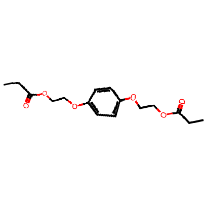 CCC(=O)OCCOc1ccc(OCCOC(=O)CC)cc1